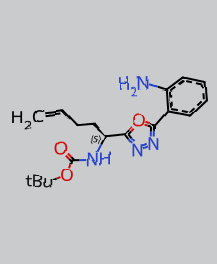 C=CCC[C@H](NC(=O)OC(C)(C)C)c1nnc(-c2ccccc2N)o1